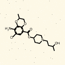 CC(O)CCN1CCC(OC(=O)c2cc(Cl)c(N)c3c2OCC(C)O3)CC1